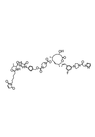 C/C(=C\c1cc(F)cc(N2CCN(C(=O)Cn3cccn3)CC2)c1)[C@H]1OC(=O)C[C@H](O)CC[C@H](C)[C@@H](OC(=O)N2CCN(C(=O)OCc3ccc(NC(=O)C(C)NC(=O)C(NC(=O)CCCCCN4C(=O)C=CC4=O)C(C)C)cc3)CC2)/C=C/[C@@H]1C